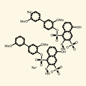 COc1cccc(-c2ccc(OS(=O)(=O)c3c(N=N)c(S(=O)(=O)[O-])cc4c(O)cccc34)c(OC)c2)c1.COc1cccc(-c2ccc(OS(=O)(=O)c3c(N=N)c(S(=O)(=O)[O-])cc4c(O)cccc34)c(OC)c2)c1.[Na+].[Na+]